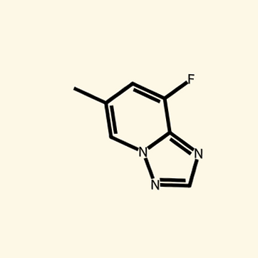 Cc1cc(F)c2ncnn2c1